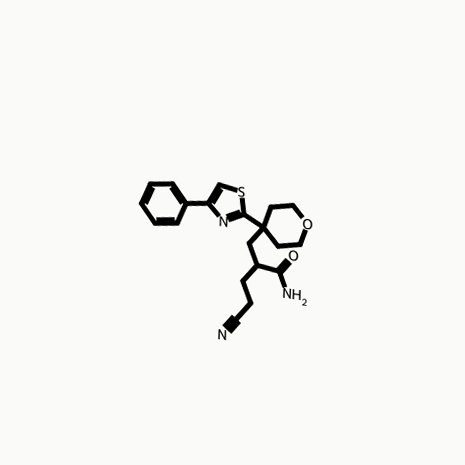 N#CCCC(CC1(c2nc(-c3ccccc3)cs2)CCOCC1)C(N)=O